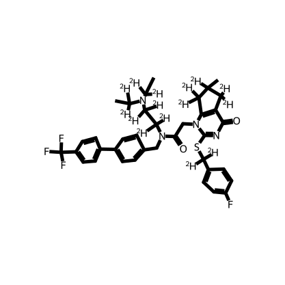 [2H]C([2H])(Sc1nc(=O)c2c(n1CC(=O)N(Cc1ccc(-c3ccc(C(F)(F)F)cc3)cc1)C([2H])([2H])C([2H])([2H])N(C([2H])([2H])C)C([2H])([2H])C)C([2H])([2H])C([2H])(C)C2([2H])[2H])c1ccc(F)cc1